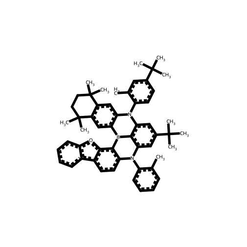 Cc1cc(C(C)(C)C)ccc1N1c2cc3c(cc2B2c4c1cc(C(C)(C)C)cc4N(c1ccccc1C)c1ccc4c(oc5ccccc54)c12)C(C)(C)CCC3(C)C